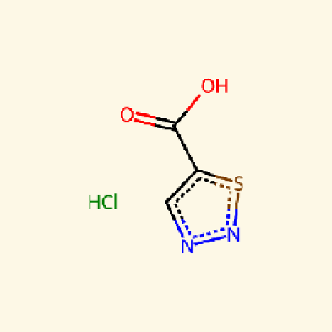 Cl.O=C(O)c1cnns1